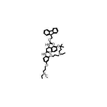 CCN(CC)CCCOc1ccc(NC(=O)CC(NC(=O)OCC2c3ccccc3-c3ccccc32)c2cccc(OC(C)(C)C)c2)c(OCCCN(CC)CC)c1